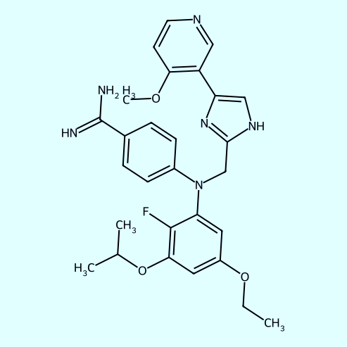 CCOc1cc(OC(C)C)c(F)c(N(Cc2nc(-c3cnccc3OC)c[nH]2)c2ccc(C(=N)N)cc2)c1